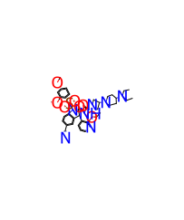 CCOc1ncccc1[C@]1(NC(=O)N2CC(N3CCC(N(CC)CC)CC3)C2)C(=O)N(S(=O)(=O)c2ccc(OC)cc2OC)c2ccc(C#N)cc21